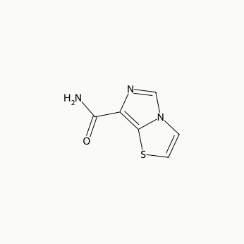 NC(=O)c1ncn2ccsc12